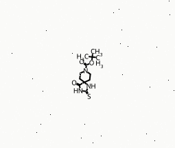 CC(C)(C)OC(=O)N1CCC2(CC1)NC(=S)NC2=O